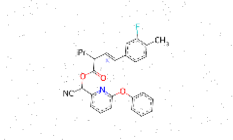 Cc1ccc(/C=C/C(C(=O)OC(C#N)c2cccc(Oc3ccccc3)n2)C(C)C)cc1F